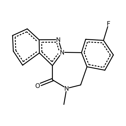 CN1Cc2ccc(F)cc2-n2nc3ccccc3c2C1=O